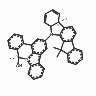 CC1(C)c2ccccc2-c2ccc3c(c21)N(c1cc2c4c(c1)c1ccccc1n4[C@@](C)(O)c1ccccc1-2)C1C=CC=C[C@@]31C